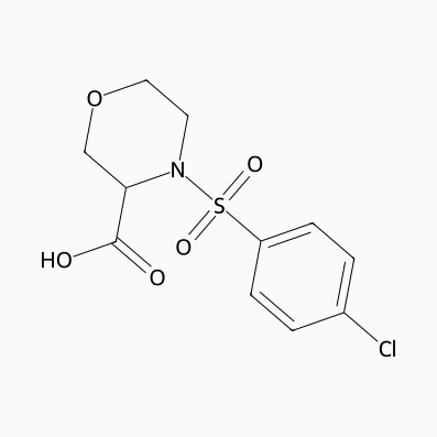 O=C(O)C1COCCN1S(=O)(=O)c1ccc(Cl)cc1